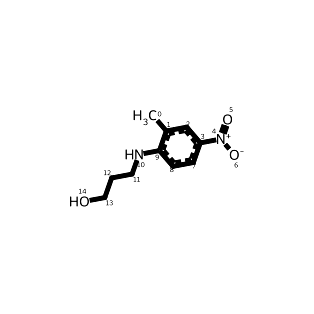 Cc1cc([N+](=O)[O-])ccc1NCCCO